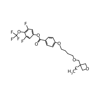 CCC1(COCCCCOc2ccc(C(=O)Oc3cc(F)c(OC(F)(F)F)c(F)c3)cc2)COC1